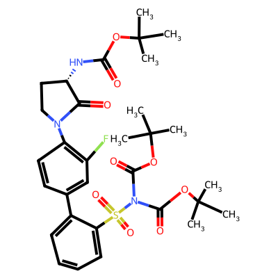 CC(C)(C)OC(=O)N[C@H]1CCN(c2ccc(-c3ccccc3S(=O)(=O)N(C(=O)OC(C)(C)C)C(=O)OC(C)(C)C)cc2F)C1=O